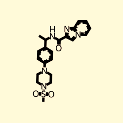 CC(NC(=O)c1cn2ccccc2n1)c1ccc(N2CCN(S(C)(=O)=O)CC2)cc1